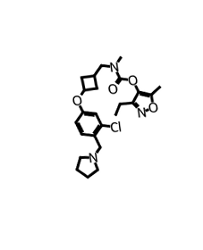 CCc1noc(C)c1OC(=O)N(C)CC1CC(Oc2ccc(CN3CCCC3)c(Cl)c2)C1